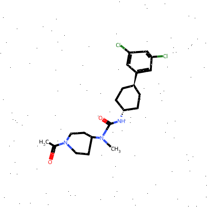 CC(=O)N1CCC(N(C)C(=O)N[C@H]2CC[C@H](c3cc(Cl)cc(Cl)c3)CC2)CC1